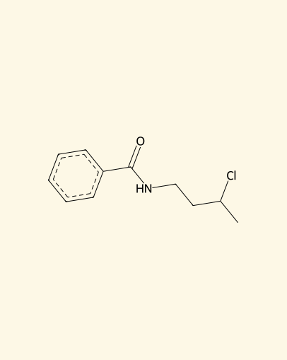 CC(Cl)CCNC(=O)c1ccccc1